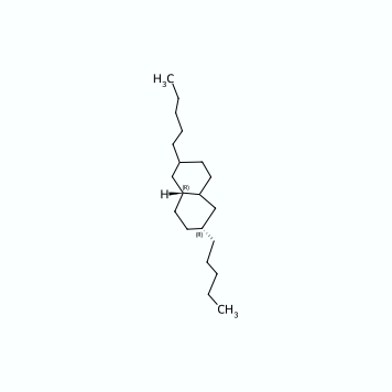 CCCCCC1CCC2C[C@H](CCCCC)CC[C@@H]2C1